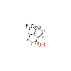 OC1CCCc2c1cccc2C(F)(F)F